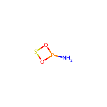 NP1OSO1